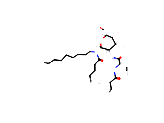 CCCCCCCCCCCCCCCCCCN(C(=O)CCCCCCCCCCCCC)[C@@H]1O[C@H](CO)[C@@H](O)[C@H](O)[C@H]1NC(=O)[C@H](CC(C)C)NC(=O)CCC(=O)O